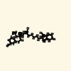 CC(C)[C@H]1c2ccc(F)cc2CC[C@]1(O)CCN(C)CCCCCc1nc2ccccc2n1C